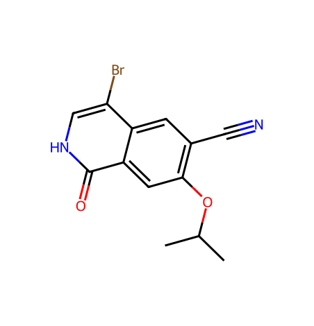 CC(C)Oc1cc2c(=O)[nH]cc(Br)c2cc1C#N